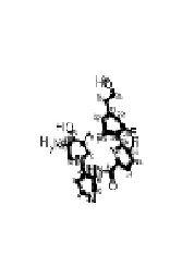 C[C@H]1CN(c2ccncc2NC(=O)c2ccc(F)c(-c3c(F)cc(CCO)cc3F)n2)C[C@@H](N)[C@@H]1O